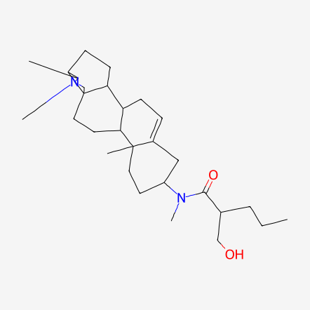 CCCC(CO)C(=O)N(C)C1CCC2(C)C(=CCC3C2CCC24CN(C)C(C)C2CCC34)C1